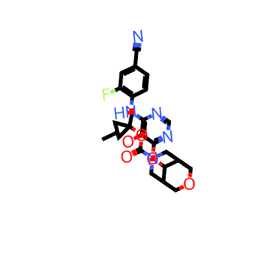 CCOc1c(Nc2ccc(C#N)cc2F)ncnc1OC1C2COCC1CN(C(=O)OC1(C)CC1)C2